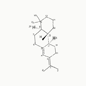 CC(C)=C1C=C2CC[C@H]3C(C)(C)CCC[C@]3(C)[C@H]2CC1